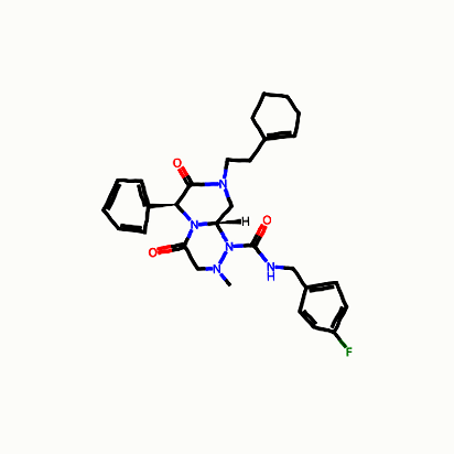 CN1CC(=O)N2[C@@H](c3ccccc3)C(=O)N(CCC3=CCCCC3)C[C@@H]2N1C(=O)NCc1ccc(F)cc1